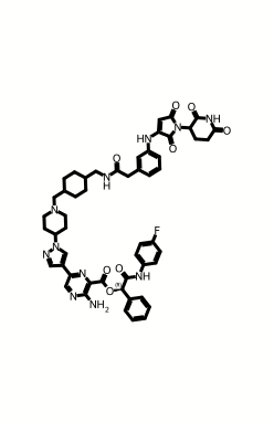 Nc1ncc(-c2cnn(C3CCN(CC4CCC(CNC(=O)Cc5cccc(NC6=CC(=O)N(C7CCC(=O)NC7=O)C6=O)c5)CC4)CC3)c2)nc1C(=O)O[C@@H](C(=O)Nc1ccc(F)cc1)c1ccccc1